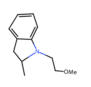 COCCN1c2ccccc2CC1C